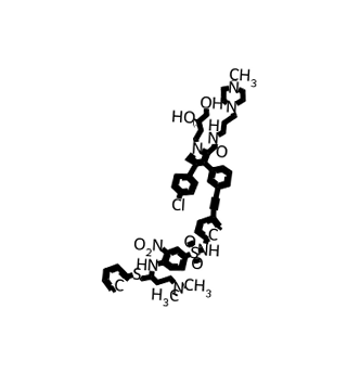 CN(C)CCC(CSc1ccccc1)Nc1ccc(S(=O)(=O)Nc2ccc(C#Cc3cccc(-c4c(-c5ccc(Cl)cc5)cn(CC[C@H](O)CO)c4C(=O)NCCCN4CCN(C)CC4)c3)cc2)cc1[N+](=O)[O-]